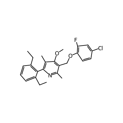 CCc1cccc(CC)c1-c1nc(C)c(COc2ccc(Cl)cc2F)c(OC)c1C